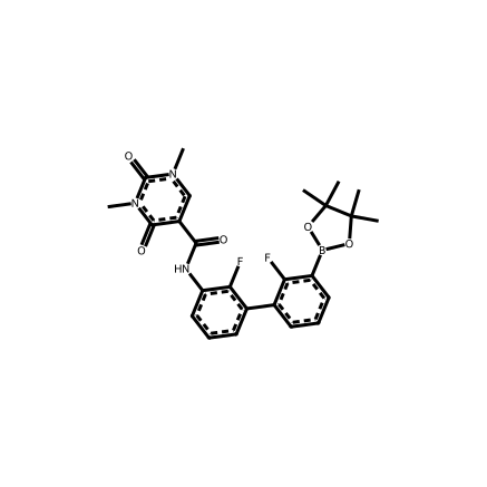 Cn1cc(C(=O)Nc2cccc(-c3cccc(B4OC(C)(C)C(C)(C)O4)c3F)c2F)c(=O)n(C)c1=O